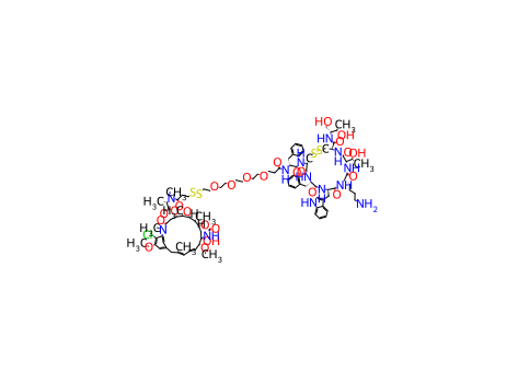 COc1cc2cc(c1Cl)N(C)C(=O)C[C@H](OC(=O)[C@H](C)N(C)C(=O)CCSSCCOCCOCCOCCOCCC(=O)N[C@H](Cc1ccccc1)C(=O)N[C@H]1CSSC[C@@H](C(=O)N[C@H](CO)[C@@H](C)O)NC(=O)[C@H]([C@@H](C)O)NC(=O)[C@H](CCCCN)NC(=O)[C@@H](Cc3c[nH]c4ccccc34)NC(=O)[C@H](Cc3ccccc3)NC1=O)[C@]1(C)O[C@H]1[C@H](C)[C@@H]1C[C@@](O)(NC(=O)O1)[C@H](OC)/C=C/C=C(\C)C2